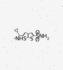 CNC(c1cc2cc(S(N)(=O)=O)sc2s1)C1CC1